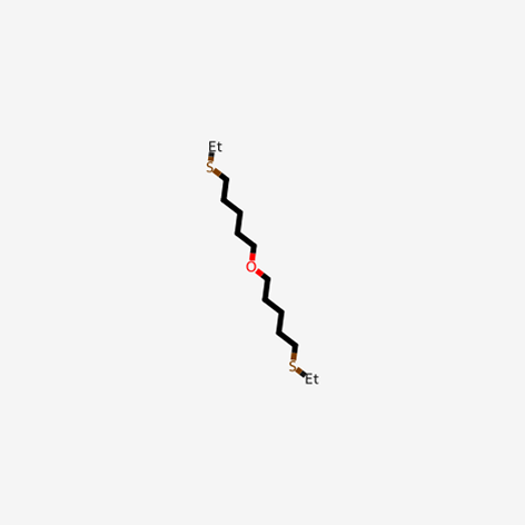 CCSCCCCCOCCCCCSCC